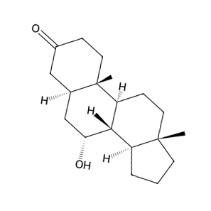 C[C@@]12CCC[C@H]1[C@@H]1[C@H](O)C[C@H]3CC(=O)CC[C@]3(C)[C@H]1CC2